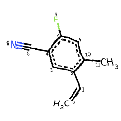 C=Cc1cc(C#N)c(F)cc1C